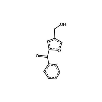 O=C(c1ccccc1)c1cc(CO)co1